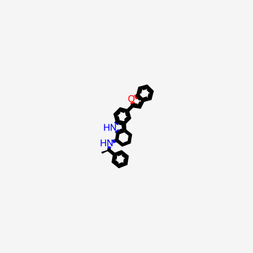 C[C@@H](NC1CCCc2c1[nH]c1ccc(-c3cc4ccccc4o3)cc21)c1ccccc1